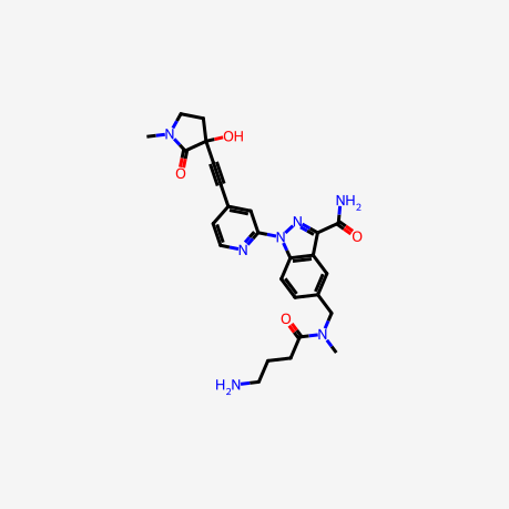 CN(Cc1ccc2c(c1)c(C(N)=O)nn2-c1cc(C#CC2(O)CCN(C)C2=O)ccn1)C(=O)CCCN